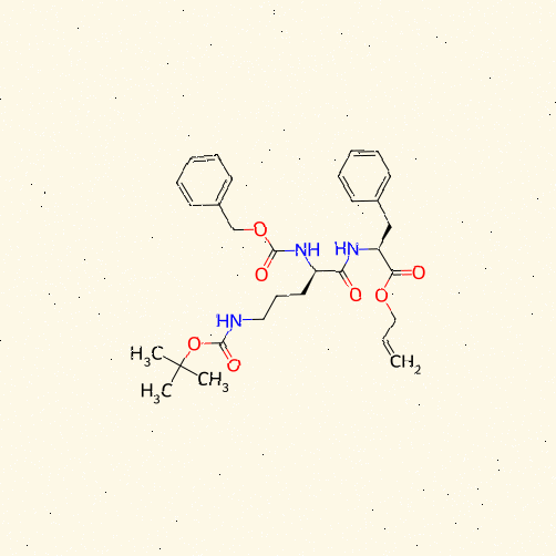 C=CCOC(=O)[C@H](Cc1ccccc1)NC(=O)[C@@H](CCCNC(=O)OC(C)(C)C)NC(=O)OCc1ccccc1